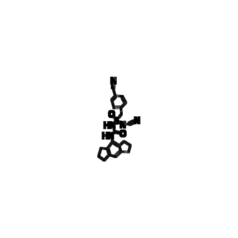 N#CN=S(=O)(Cc1ccc(C#N)cc1)NC(=O)Nc1c2c(cc3c1CCC3)CCC2